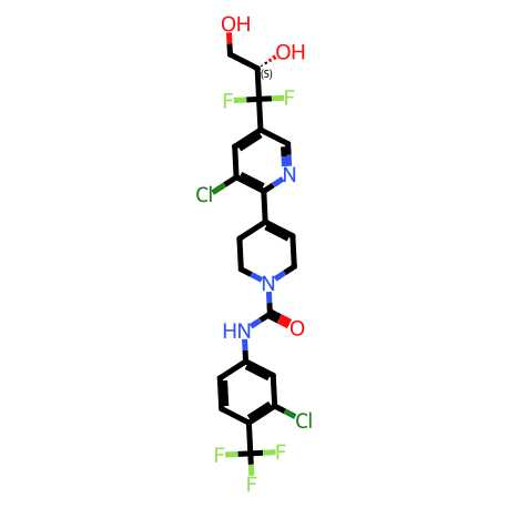 O=C(Nc1ccc(C(F)(F)F)c(Cl)c1)N1CC=C(c2ncc(C(F)(F)[C@@H](O)CO)cc2Cl)CC1